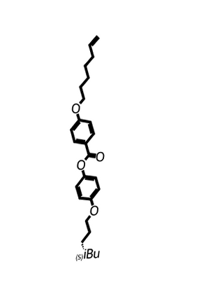 C=CCCCCCOc1ccc(C(=O)Oc2ccc(OCCC[C@@H](C)CC)cc2)cc1